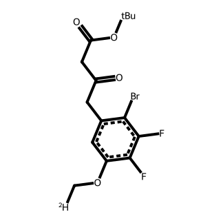 [2H]COc1cc(CC(=O)CC(=O)OC(C)(C)C)c(Br)c(F)c1F